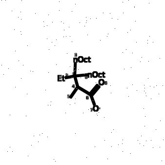 CCCCCCCCC(CC)(CCCCCCCC)C(C)C([O])=O